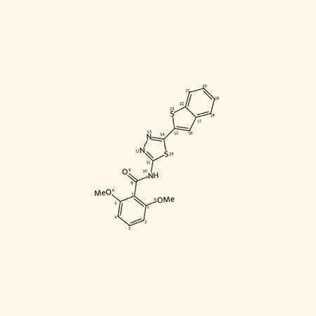 COc1cccc(OC)c1C(=O)Nc1nnc(-c2cc3ccccc3s2)s1